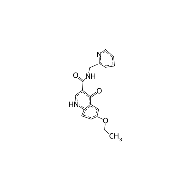 CCOc1ccc2[nH]cc(C(=O)NCc3ccccn3)c(=O)c2c1